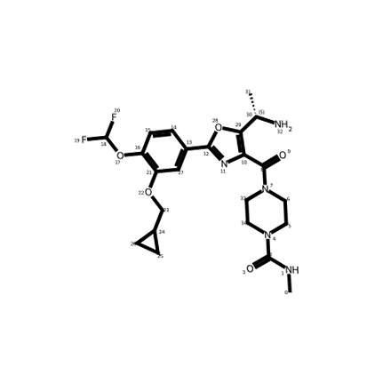 CNC(=O)N1CCN(C(=O)c2nc(-c3ccc(OC(F)F)c(OCC4CC4)c3)oc2[C@H](C)N)CC1